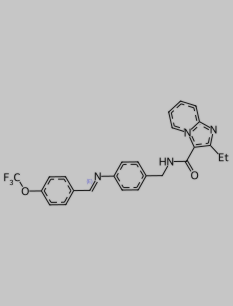 CCc1nc2ccccn2c1C(=O)NCc1ccc(/N=C/c2ccc(OC(F)(F)F)cc2)cc1